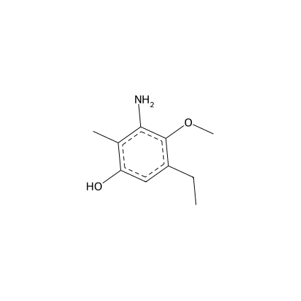 CCc1cc(O)c(C)c(N)c1OC